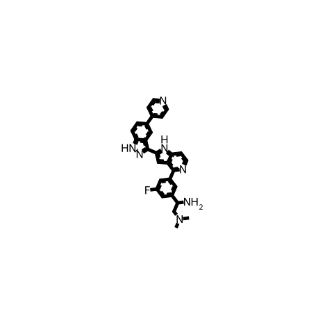 CN(C)CC(N)c1cc(F)cc(-c2nccc3[nH]c(-c4n[nH]c5ccc(-c6ccncc6)cc45)cc23)c1